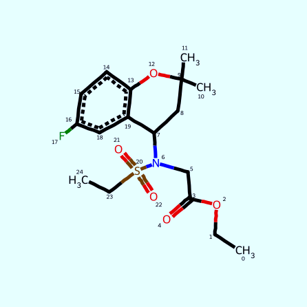 CCOC(=O)CN(C1CC(C)(C)Oc2ccc(F)cc21)S(=O)(=O)CC